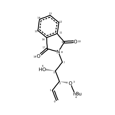 C=C[C@@H](OCCCC)[C@H](O)CN1C(=O)c2ccccc2C1=O